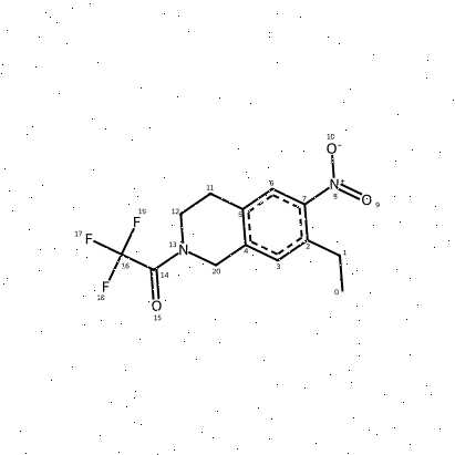 CCc1cc2c(cc1[N+](=O)[O-])CCN(C(=O)C(F)(F)F)C2